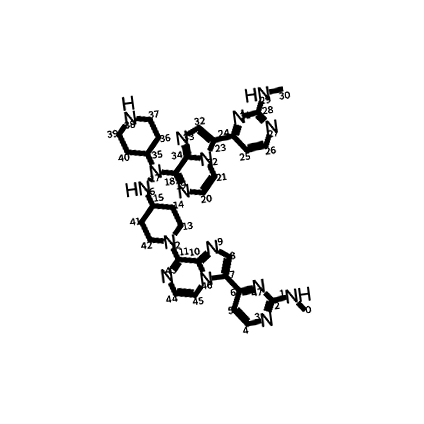 CNc1nccc(-c2cnc3c(N4CCC(NN(c5nccn6c(-c7ccnc(NC)n7)cnc56)C5CCNCC5)CC4)nccn23)n1